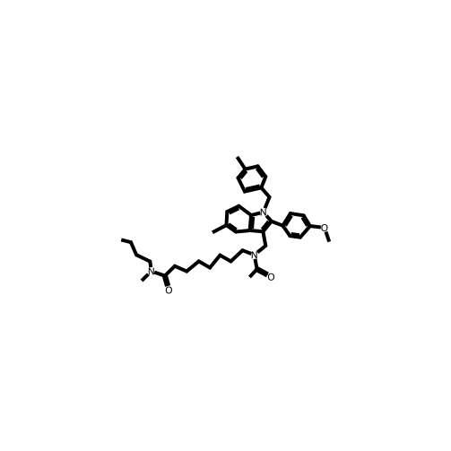 CCCCN(C)C(=O)CCCCCCCN(Cc1c(-c2ccc(OC)cc2)n(Cc2ccc(C)cc2)c2ccc(C)cc12)C(C)=O